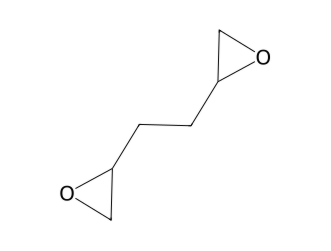 C(CC1CO1)C1CO1